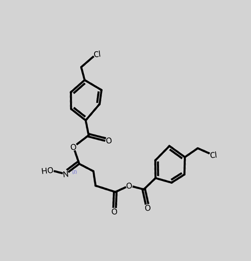 O=C(CC/C(=N/O)OC(=O)c1ccc(CCl)cc1)OC(=O)c1ccc(CCl)cc1